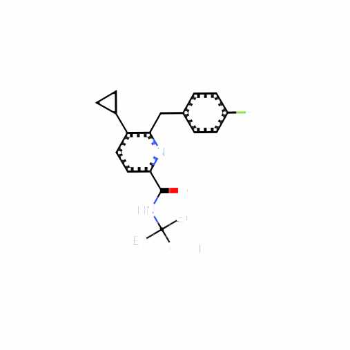 CCC(CC)(NC(=O)c1ccc(C2CC2)c(Cc2ccc(F)cc2)n1)C(=O)O